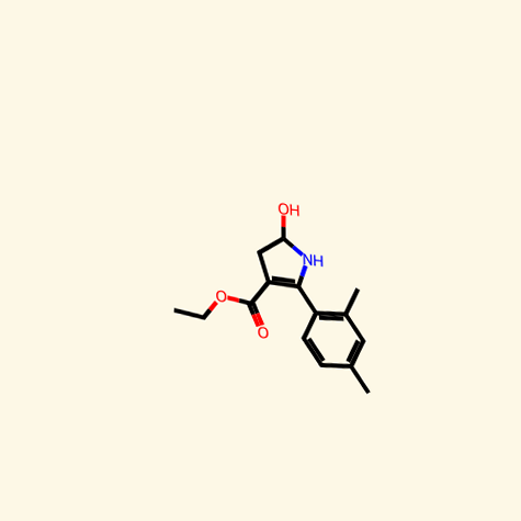 CCOC(=O)C1=C(c2ccc(C)cc2C)NC(O)C1